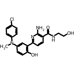 CN(c1ccc(Cl)cc1)c1ccc(O)c(-c2ccc(C(=O)NCCO)c(N)n2)c1